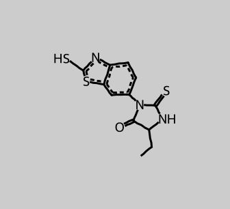 CCC1NC(=S)N(c2ccc3nc(S)sc3c2)C1=O